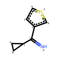 N=C(c1ccsc1)C1CC1